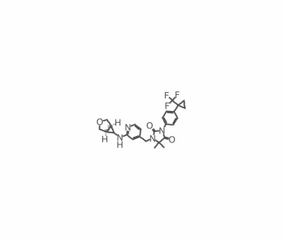 CC1(C)C(=O)N(c2ccc(C3(C(F)(F)F)CC3)cc2)C(=O)N1Cc1ccnc(NC2[C@H]3COC[C@@H]23)c1